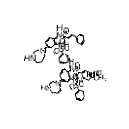 Cc1ccc(S(=O)(=O)Nc2ccc(N3CCCNCC3)cc2NS(=O)(=O)c2ccccc2)cc1.Cl.Cl.O=S(=O)(/C=C/c1ccccc1)Nc1ccc(N2CCCNCC2)cc1NS(=O)(=O)c1ccccc1